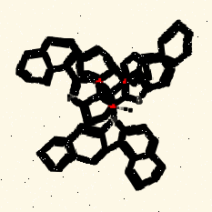 C[C@@H]1C/C=C(c2c(-n3c4cc5ccccc5cc4c4c5ccccc5ccc43)c3oc4c(c3c3ccccc23)CCC=C4)/N=C(c2cccc3ccccc23)\N=C/1c1ccc(-c2ccccc2)cc1